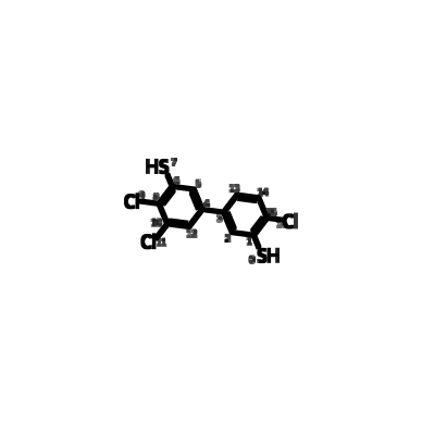 Sc1cc(-c2cc(S)c(Cl)c(Cl)c2)ccc1Cl